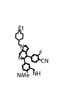 CCN1CCC(Cn2ccc3c(-c4ccc(C#N)c(F)c4)c(-c4ccc(NC)c(C=N)c4)ncc32)CC1